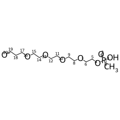 CP(=O)(O)OCCOCCOCCOCCOCCC=O